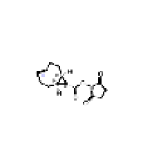 O=C(ON1C(=O)CCC1=O)[C@H]1[C@@H]2CC/C=C/CC[C@@H]21